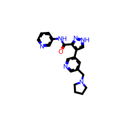 O=C(Nc1cccnc1)c1n[nH]cc1-c1cncc(CN2CCCC2)c1